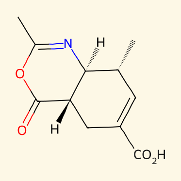 CC1=N[C@H]2[C@H](C)C=C(C(=O)O)C[C@@H]2C(=O)O1